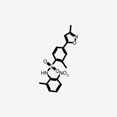 Cc1cc(-c2ccc(S(=O)(=O)Nc3c(C)cccc3[N+](=O)[O-])c(C)c2)on1